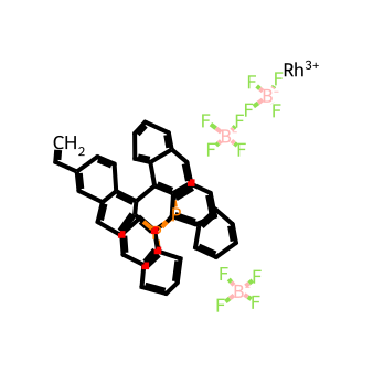 C=Cc1ccc2c(-c3c(P(c4ccccc4)c4ccccc4)ccc4ccccc34)c(P(c3ccccc3)c3ccccc3)ccc2c1.F[B-](F)(F)F.F[B-](F)(F)F.F[B-](F)(F)F.[Rh+3]